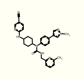 Cc1cccc(CNC(=O)N(c2ccc(-c3cnn(C)c3)cc2)C2CCC(Nc3ccc(C#N)cn3)CC2)n1